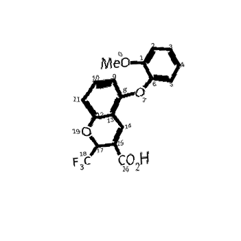 COc1ccccc1Oc1cccc2c1C=C(C(=O)O)C(C(F)(F)F)O2